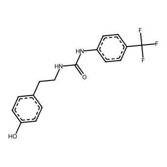 O=C(NCCc1ccc(O)cc1)Nc1ccc(C(F)(F)F)cc1